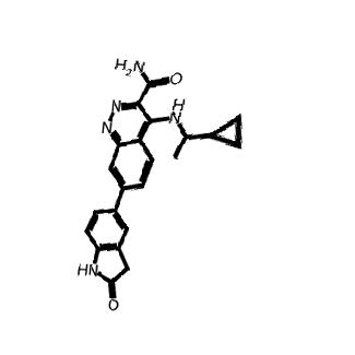 CC(Nc1c(C(N)=O)nnc2cc(-c3ccc4c(c3)CC(=O)N4)ccc12)C1CC1